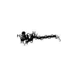 COCCOCCOCCOCCOCCOCCOCCNC1(C(=O)O)CCN(C(=O)C(CCCCN)NC(=O)C(CC(C)C)NC(=O)C(Cc2ccccc2)NC(=O)C(N)Cc2ccccc2)CC1